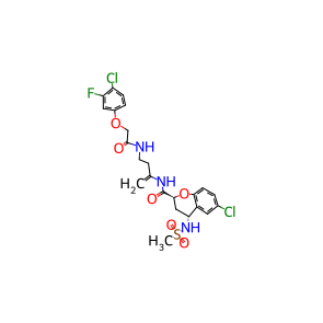 C=C(CCNC(=O)COc1ccc(Cl)c(F)c1)NC(=O)[C@@H]1C[C@@H](NS(C)(=O)=O)c2cc(Cl)ccc2O1